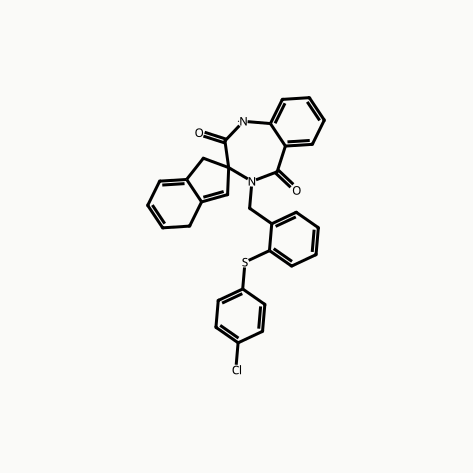 O=C1c2ccccc2[N]C(=O)C2(C=C3CC=CC=C3C2)N1Cc1ccccc1Sc1ccc(Cl)cc1